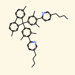 CCCCc1ccc(-c2c(C)cc(C3(c4cc(C)c(-c5ccc(CCCC)cn5)c(C)c4)c4cc(C)ccc4-c4ccc(C)cc43)cc2C)nc1